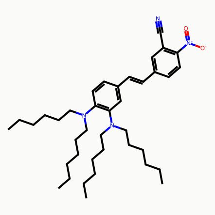 CCCCCCN(CCCCCC)c1ccc(C=Cc2ccc([N+](=O)[O-])c(C#N)c2)cc1N(CCCCCC)CCCCCC